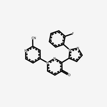 N#Cc1cc(-n2ccc(=O)c(-c3ccnn3-c3ccccc3F)n2)ccn1